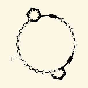 C1#Cc2ccc[n+](c2)CCCCCCCCCC[n+]2cccc(c2)C#CCCCCCC1.[I-].[I-]